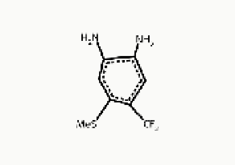 CSc1cc(N)c(N)cc1C(F)(F)F